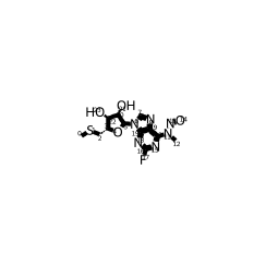 CSC[C@H]1OC(n2cnc3c(N(C)N=O)nc(F)nc32)[C@H](O)[C@@H]1O